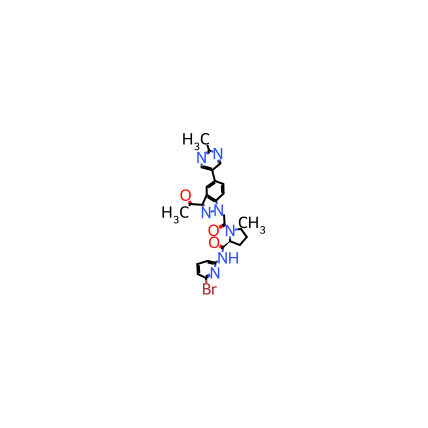 CC(=O)c1nn(CC(=O)N2[C@@H](C)CC[C@H]2C(=O)Nc2cccc(Br)n2)c2ccc(-c3cnc(C)nc3)cc12